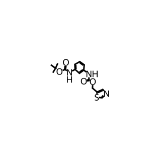 CC(C)(C)OC(=O)Nc1cccc(NC(=O)OCc2cncs2)c1